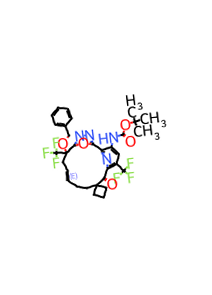 CC(C)(C)OC(=O)Nc1cc(C(F)(F)F)c2nc1-c1nnc(o1)C(OCc1ccccc1)(C(F)(F)F)C/C=C/CCC1(CCC1)C2=O